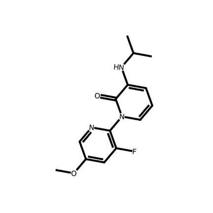 COc1cnc(-n2cccc(NC(C)C)c2=O)c(F)c1